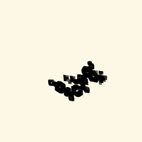 COc1ccc(-c2nc(C(=O)N3CCN(C(=O)C(C)(C)c4ccc(Cl)cc4)CC3)c(CN)o2)c2ccc(C(F)(F)F)nc12